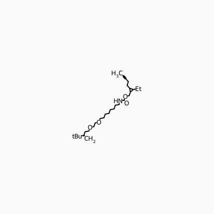 C=C(CCOCCOCCCCCCCCNC(=O)OCC1C(CC)C1CCC#CC)C(C)(C)C